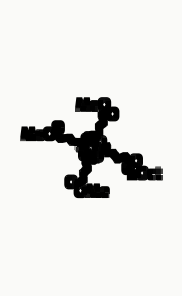 CCCCCCCCOC(=O)CCCC[Si]1(C)O[Si](C)(CCCCC(=O)OC)O[Si](C)(CCCCC(=O)OC)O[Si](C)(CCCCC(=O)OC)O1